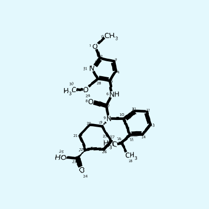 COc1ccc(NC(=O)N(c2ccccc2C(C)C)[C@H]2CC[C@H](C(=O)O)CC2)c(OC)n1